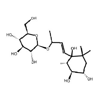 CC(/C=C/C1(O)[C@@H](C)[C@H](O)[C@@H](O)CC1(C)C)O[C@@H]1O[C@H](CO)[C@@H](O)[C@H](O)[C@H]1O